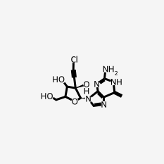 C=C1NC(N)=Nc2c1ncn2[C@@H]1OC(CO)C(O)[C@]1(O)C#CCl